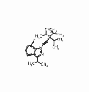 CC(C)c1nn(C#C[Si](C(C)C)(C(C)C)C(C)C)c2c(F)cccc12